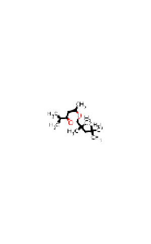 CC(CC(=O)C(C)C)OCC(C)(C)CC(C)(C)C